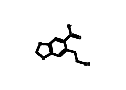 O=[N+]([O-])c1cc2c(cc1C[CH]O)OCO2